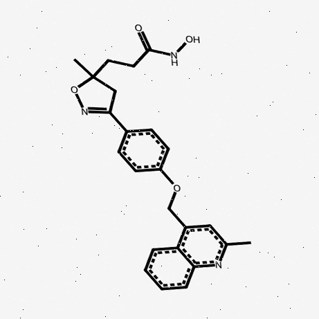 Cc1cc(COc2ccc(C3=NOC(C)(CCC(=O)NO)C3)cc2)c2ccccc2n1